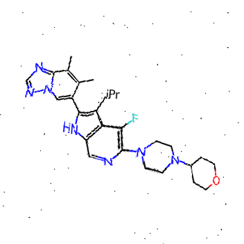 Cc1c(-c2[nH]c3cnc(N4CCN(C5CCOCC5)CC4)c(F)c3c2C(C)C)cn2ncnc2c1C